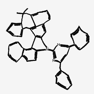 CC1(C)c2ccccc2-c2c3c1cccc3cc1c2c2c3ccccc3ccc2n1-c1nc(-c2ccccc2)cc(-c2ccccc2)n1